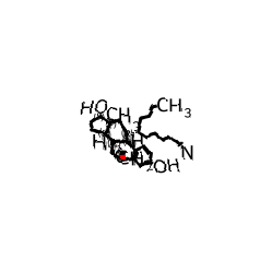 C=C[C@@]12CCc3cc(O)ccc3[C@H]1[C@@H](C(CCCC)CCCCC#N)C[C@@]1(C)[C@H]2CC[C@@H]1O